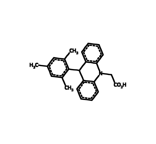 Cc1cc(C)c(C2c3ccccc3N(CC(=O)O)c3ccccc32)c(C)c1